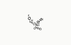 O=C(N[C@@H](CCCN[C@@H]1C[C@H]1c1ccc(F)cc1)C(=O)N1CC2(COC2)C1)c1ccc(-n2ccnc2)cc1